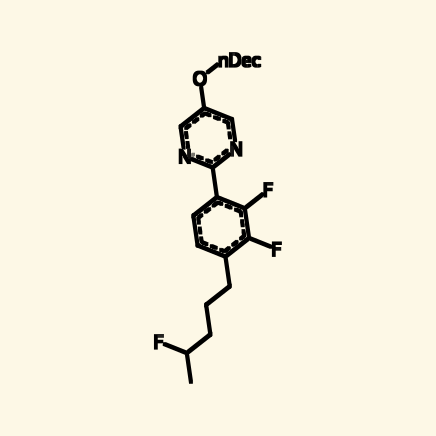 CCCCCCCCCCOc1cnc(-c2ccc(CCCC(C)F)c(F)c2F)nc1